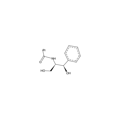 CC(C)C(=O)N[C@H](CO)[C@H](O)c1ccccc1